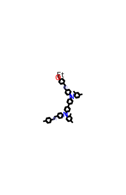 CCOc1ccc(/C=C/c2ccc(N(c3ccc(-c4ccc(N(c5ccc(/C=C/c6ccc(C)cc6)cc5)c5ccc(C)cc5C)cc4)cc3)c3ccc(C)cc3C)cc2)cc1